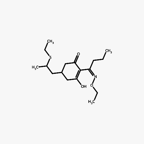 CCC/C(=N/OCC)C1=C(O)CC(CC(C)SCC)CC1=O